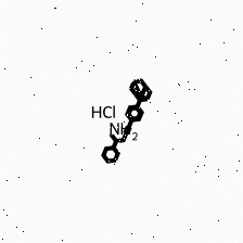 Cl.NCC(CC#Cc1ccc(C2C3CC4CC(C3)CC2C4)cc1)C1CCCCC1